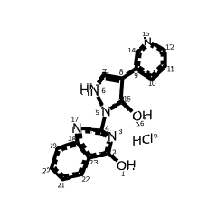 Cl.Oc1nc(N2NC=C(c3cccnc3)C2O)nc2ccccc12